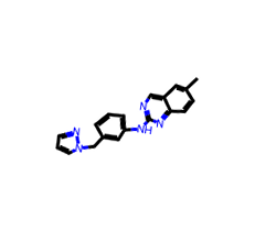 Cc1ccc2nc(Nc3cccc(Cn4cccn4)c3)ncc2c1